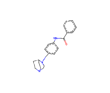 O=C(Nc1ccc(N2CCN3CCC2CC3)cc1)c1ccccc1